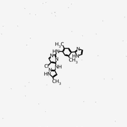 Cc1cc(Nc2nc(Nc3cc(C)c(-c4ncc[nH]4)cc3C)ncc2Cl)n[nH]1